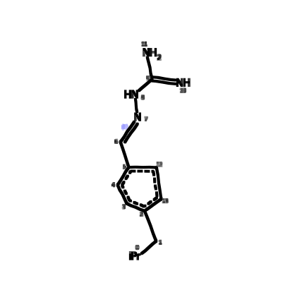 CC(C)Cc1ccc(/C=N/NC(=N)N)cc1